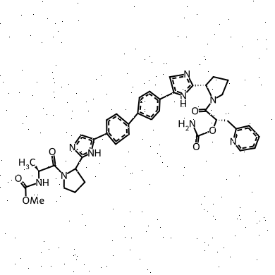 COC(=O)N[C@@H](C)C(=O)N1CCCC1c1ncc(-c2ccc(-c3ccc(-c4cnc([C@@H]5CCCN5C(=O)[C@H](Cc5ccccn5)OC(N)=O)[nH]4)cc3)cc2)[nH]1